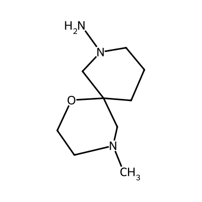 CN1CCOC2(CCCN(N)C2)C1